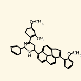 COC1=CC(O)=C(C2=NC(C3C=CC=CC3)NC(C3=CC=C4C=CC5=C6C(=CC=C3C46)CC=C5c3ccccc3OC)C2)CC1